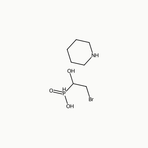 C1CCNCC1.O=[PH](O)C(O)CBr